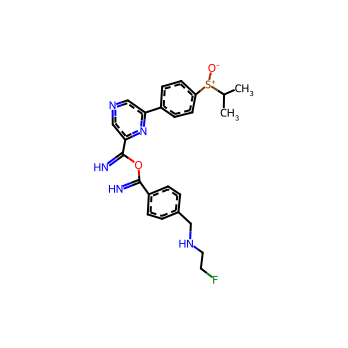 CC(C)[S+]([O-])c1ccc(-c2cncc(C(=N)OC(=N)c3ccc(CNCCF)cc3)n2)cc1